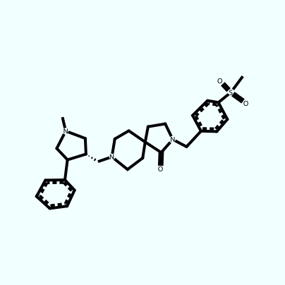 CN1CC(c2ccccc2)[C@@H](CN2CCC3(CC2)CCN(Cc2ccc(S(C)(=O)=O)cc2)C3=O)C1